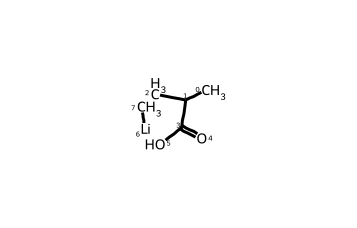 CC(C)C(=O)O.[Li][CH3]